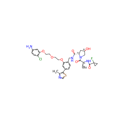 Cc1ncsc1-c1ccc(CNC(=O)[C@@H]2C[C@@H](O)CN2C(=O)[C@@H](NC(=O)C2(F)CC2)C(C)(C)C)c(OCCOCCOc2cc(N)ccc2Cl)c1